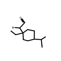 CCC1(C(Br)C=O)CCC(C(C)C)CC1